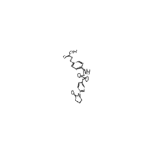 O=C(O)CCc1ccc(NS(=O)(=O)c2ccc(N3CCCC3=O)cc2)cc1